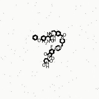 NC(=O)c1c(-c2ccc(Oc3ccccc3)cc2)nn2c1Nc1cc(C(=O)N3CCC(CN4CCN(c5cc6c(cc5F)C(=O)N(C5CCC(=O)NC5=O)C6=O)CC4)CC3)ccc1CC2